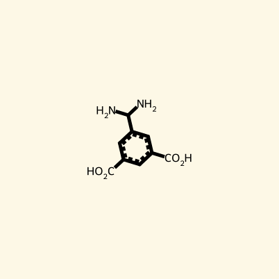 NC(N)c1cc(C(=O)O)cc(C(=O)O)c1